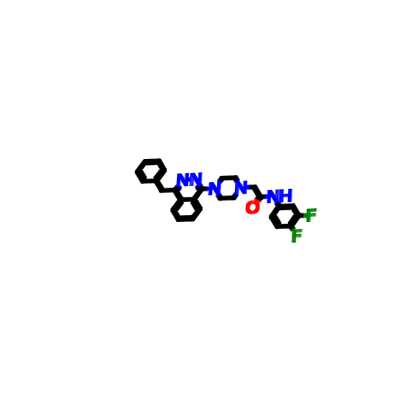 O=C(CN1CCN(c2nnc(Cc3ccccc3)c3ccccc23)CC1)Nc1ccc(F)c(F)c1